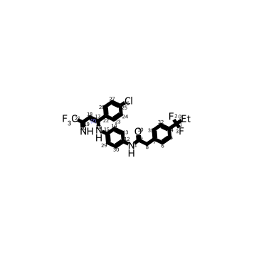 CCC(F)(F)c1ccc(CC(=O)Nc2ccc(N/C(=C\C(=N)C(F)(F)F)c3ccc(Cl)cc3)cc2)cc1